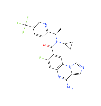 C[C@H](c1ccc(C(F)(F)F)cn1)N(C(=O)c1cc2c(cc1F)nc(N)c1cncn12)C1CC1